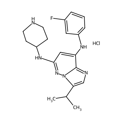 CC(C)c1cnc2c(Nc3cccc(F)c3)cc(NC3CCNCC3)nn12.Cl